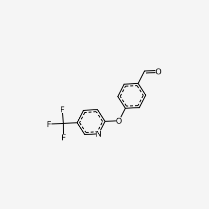 O=Cc1ccc(Oc2ccc(C(F)(F)F)cn2)cc1